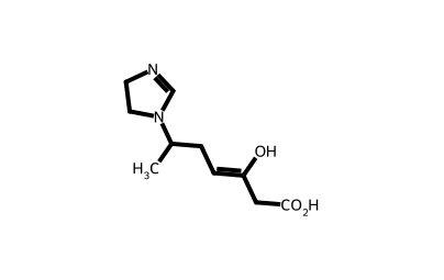 CC(CC=C(O)CC(=O)O)N1C=NCC1